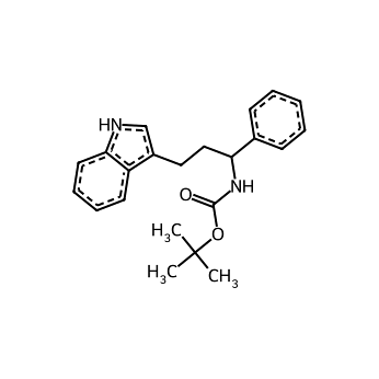 CC(C)(C)OC(=O)NC(CCc1c[nH]c2ccccc12)c1ccccc1